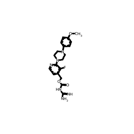 COc1ccc(N2CCN(c3nccc(COC(=O)NC(=N)N)c3F)CC2)cc1